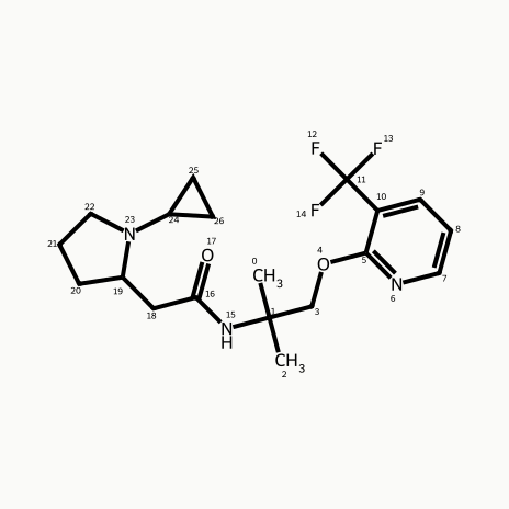 CC(C)(COc1ncccc1C(F)(F)F)NC(=O)CC1CCCN1C1CC1